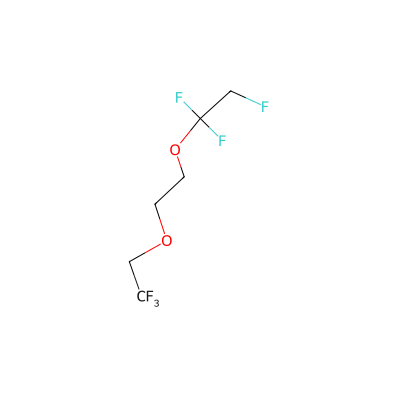 FCC(F)(F)OCCOCC(F)(F)F